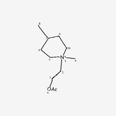 CC(=O)OCC[N+]1(C)CCC(C)CC1